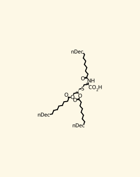 CCCCCCCCCCCCCCCCCC(=O)N[C@@H](CSC[C@@H](COC(=O)CCCCCCCCCCCCCCCCC)OC(=O)CCCCCCCCCCCCCCCCC)C(=O)O